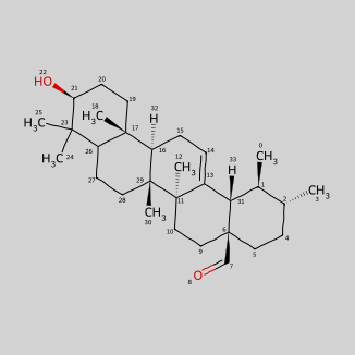 C[C@H]1[C@H](C)CC[C@]2(C=O)CC[C@]3(C)C(=CC[C@@H]4[C@@]5(C)CC[C@H](O)C(C)(C)C5CC[C@]43C)[C@H]12